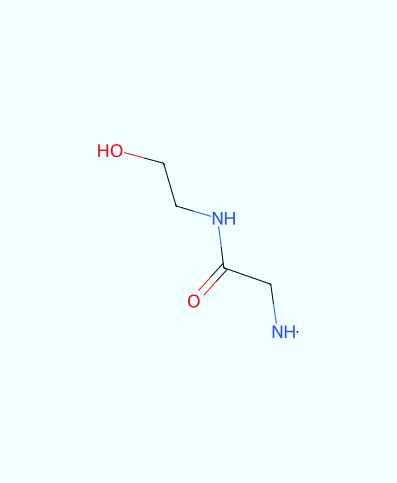 [NH]CC(=O)NCCO